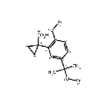 CCOc1ccc(C(C)(C)OCC)cc1C1(C(=O)O)CC1